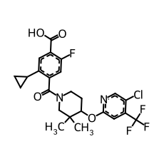 CC1(C)CN(C(=O)c2cc(F)c(C(=O)O)cc2C2CC2)CCC1Oc1cc(C(F)(F)F)c(Cl)cn1